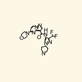 CN1CCC(n2cc(NC(=O)c3cnn4ccc(N5CCOCC5)nc34)c(C(F)F)n2)CC1